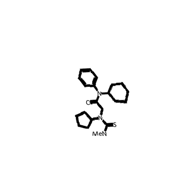 CNC(=S)N(CC(=O)N(c1ccccc1)C1CCCCC1)C1CCCC1